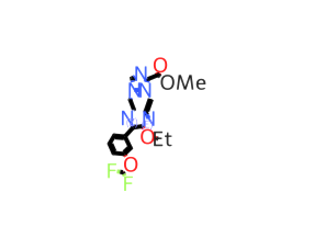 C=C/N=C(OCC)\C(=N/CCn1cnc(C(=O)OC)n1)c1cccc(OC(F)F)c1